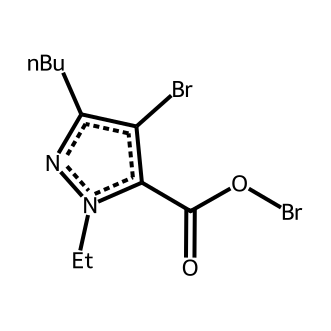 CCCCc1nn(CC)c(C(=O)OBr)c1Br